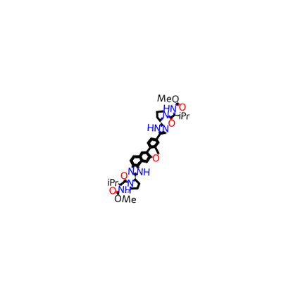 COC(=O)N[C@H](C(=O)N1CCC[C@H]1c1ncc(-c2ccc3c(c2)COc2cc4c(ccc5nc([C@@H]6CC[C@H](C)N6C(=O)[C@@H](NC(=O)OC)C(C)C)[nH]c54)cc2-3)[nH]1)C(C)C